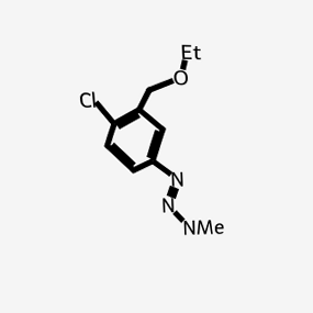 CCOCc1cc(/N=N/NC)ccc1Cl